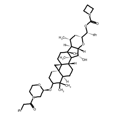 CC(C)CC(=O)N1CCO[C@@H](OC2CC[C@]34C[C@]35CC[C@]3(C)[C@@H]6[C@H](O[C@@H]([C@H](OC(=O)N7CCC7)C(C)C)C[C@H]6C)[C@H](O)[C@@]3(C)[C@@H]5CC[C@H]4C2(C)C)C1